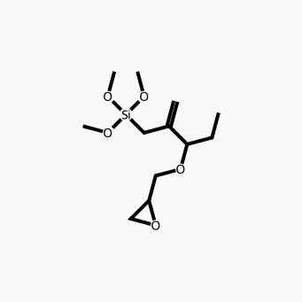 C=C(C[Si](OC)(OC)OC)C(CC)OCC1CO1